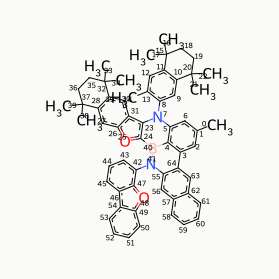 Cc1cc2c3c(c1)N(c1cc4c(cc1C)C(C)(C)CCC4(C)C)c1c(oc4cc5c(cc14)C(C)(C)CCC5(C)C)B3N(c1cccc3c1oc1ccccc13)c1cc3ccccc3cc1-2